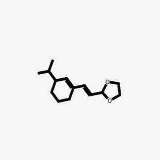 CC(C)C1C=C(C=CC2OCCO2)CCC1